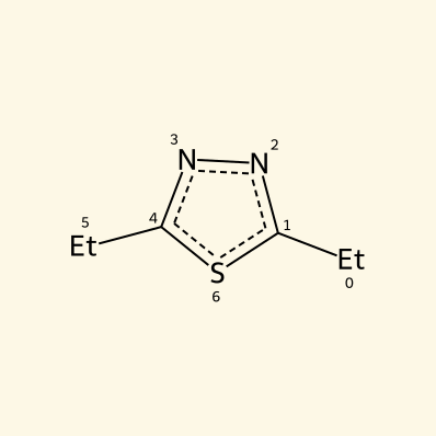 CCc1nnc(CC)s1